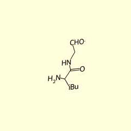 CCC(C)C(N)C(=O)NC[C]=O